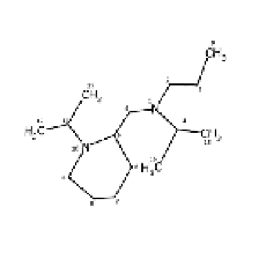 CCCN(CC1CCCCN1C(C)C)C(C)C